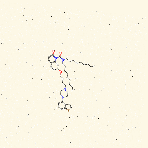 CCCCCCCCCN(CCCCCCCCC)C(=O)n1c(=O)ccc2ccc(OCCCCN3CCN(c4cccc5sccc45)CC3)cc21